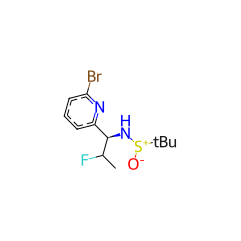 CC(F)[C@H](N[S+]([O-])C(C)(C)C)c1cccc(Br)n1